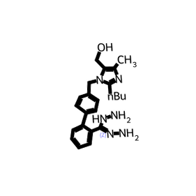 CCCCc1nc(C)c(CO)n1Cc1ccc(-c2ccccc2/C(=N/N)NN)cc1